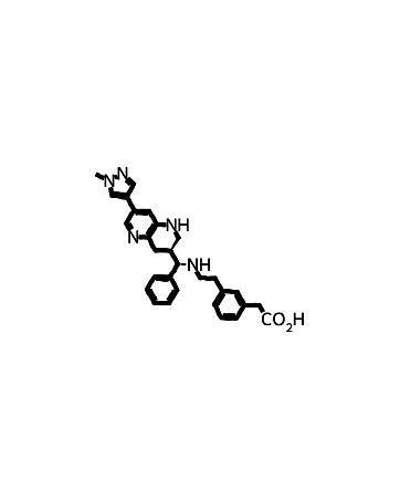 Cn1cc(-c2cnc3c(c2)NC[C@@H]([C@H](NCCc2cccc(CC(=O)O)c2)c2ccccc2)C3)cn1